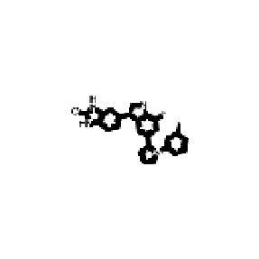 Cc1cccc(-n2cccc2-c2cc(F)c3c(c2)C(c2ccc4[nH]c(=O)[nH]c4c2)C=N3)c1